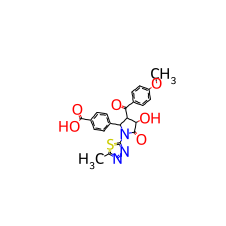 COc1ccc(C(=O)C2C(O)C(=O)N(c3nnc(C)s3)C2c2ccc(C(=O)O)cc2)cc1